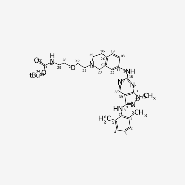 Cc1cccc(C)c1Nc1nn(C)c2nc(Nc3ccc4c(c3)CN(CCOCCNC(=O)OC(C)(C)C)CC4)ncc12